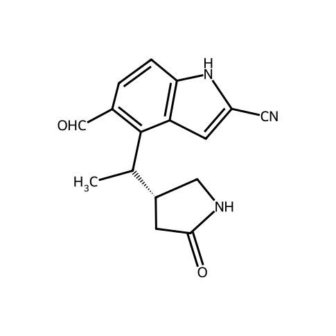 CC(c1c(C=O)ccc2[nH]c(C#N)cc12)[C@@H]1CNC(=O)C1